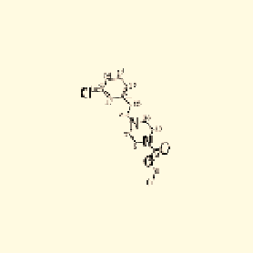 CCOC(=O)N1CCN(CCc2cccc(Cl)c2)CC1